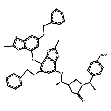 COc1ccc([C@@H](C)N2C[C@H]([C@@H](C)Oc3cc(OCc4ccccc4)c(Oc4cc(OCc5ccccc5)cc5nc(C)sc45)c4nc(C)sc34)CC2=O)cc1